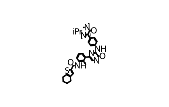 Cc1c(NC(=O)c2cc3c(s2)CCCC3)cccc1-c1cn(C)c(=O)c(Nc2ccc([C@@H](C(=O)N(C)C)N(C)C(C)C)cc2)n1